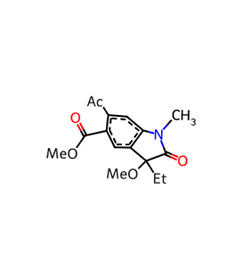 CCC1(OC)C(=O)N(C)c2cc(C(C)=O)c(C(=O)OC)cc21